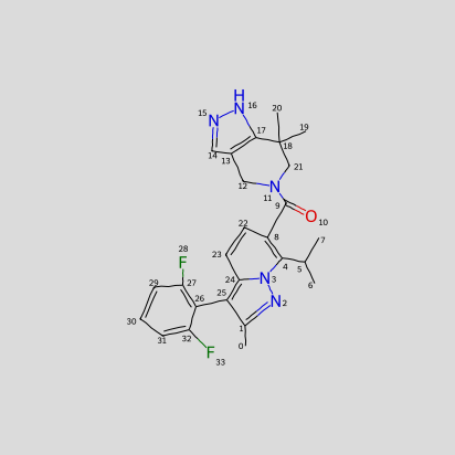 Cc1nn2c(C(C)C)c(C(=O)N3Cc4cn[nH]c4C(C)(C)C3)ccc2c1-c1c(F)cccc1F